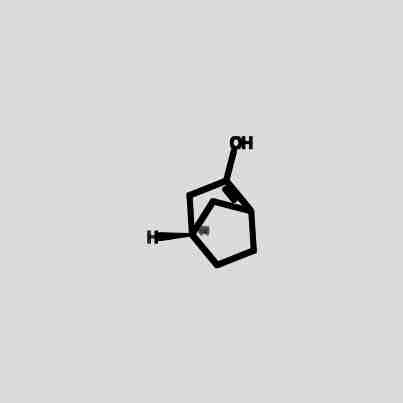 OC1=C2CC[C@H](C1)C2